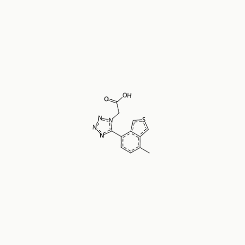 Cc1ccc(-c2nnnn2CC(=O)O)c2cscc12